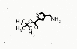 CC(C)(C)OC(=O)c1cc(CN)cs1